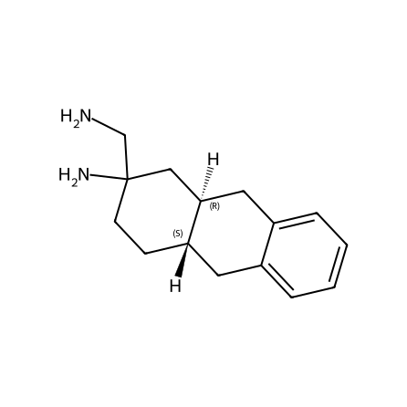 NCC1(N)CC[C@H]2Cc3ccccc3C[C@@H]2C1